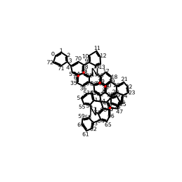 c1ccc(-c2cccc(-c3ccccc3N(c3ccc(-c4cccc5ccccc45)cc3)c3ccccc3-c3ccc4c(c3)C3(c5ccccc5-4)c4ccccc4-n4c5ccccc5c5cccc3c54)c2)cc1